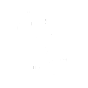 CC.CCCC.OP(O)(O)=S.OP(O)(O)=S